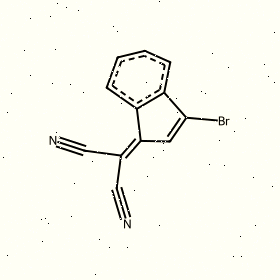 N#CC(C#N)=C1C=C(Br)c2ccccc21